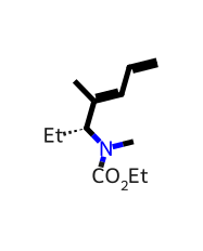 C=C/C=C(\C)[C@@H](CC)N(C)C(=O)OCC